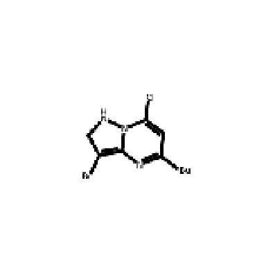 CCC(C)C1=NC2=C(Br)CNN2C(Cl)=C1